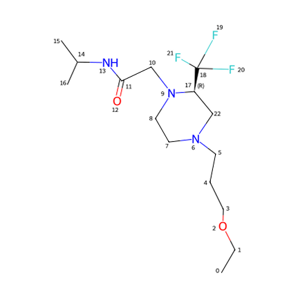 CCOCCCN1CCN(CC(=O)NC(C)C)[C@@H](C(F)(F)F)C1